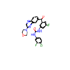 O=C(Nc1cc(F)cc(C(=O)c2ccc3ncc(N4CCOCC4)nc3c2)c1)Nc1ccc(Cl)c(F)c1